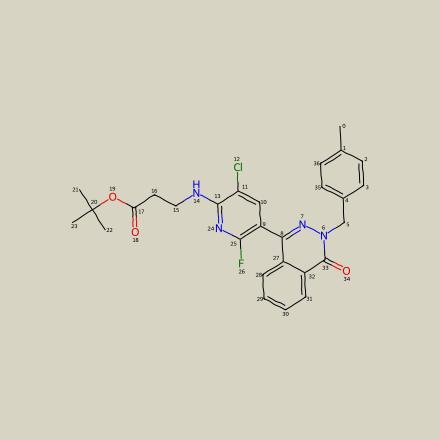 Cc1ccc(Cn2nc(-c3cc(Cl)c(NCCC(=O)OC(C)(C)C)nc3F)c3ccccc3c2=O)cc1